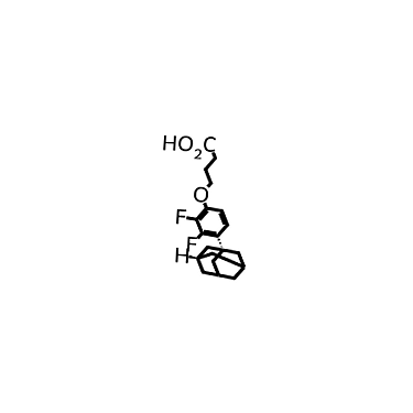 O=C(O)CCCOc1ccc([C@]23CC4CC(C[C@H](C4)C2)C3)c(F)c1F